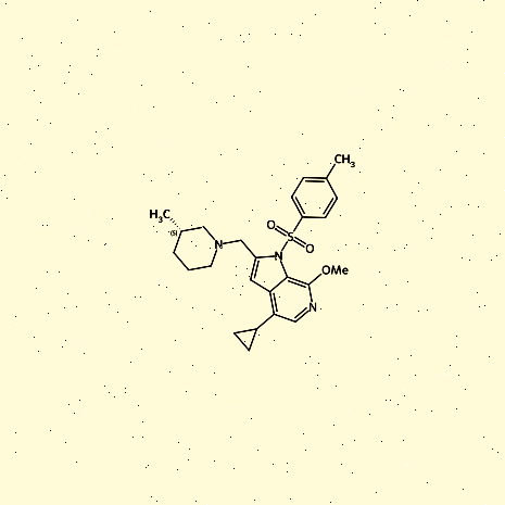 COc1ncc(C2CC2)c2cc(CN3CCC[C@H](C)C3)n(S(=O)(=O)c3ccc(C)cc3)c12